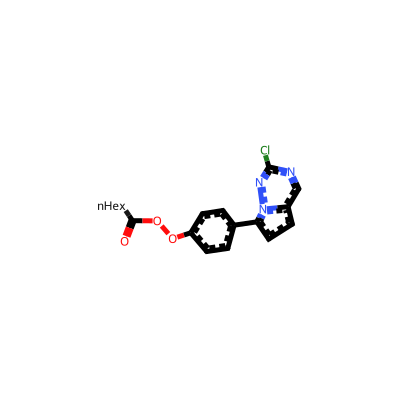 CCCCCCC(=O)OOc1ccc(-c2ccc3cnc(Cl)nn23)cc1